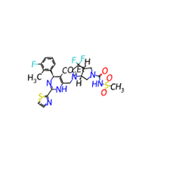 CCOC(=O)C1=C(CN2CC(F)(F)[C@@H]3CN(C(=O)NS(C)(=O)=O)C[C@@H]32)NC(c2nccs2)=N[C@H]1c1cccc(F)c1C